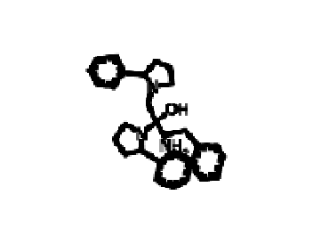 N[C@H](Cc1ccccc1)[C@@](O)(CN1CCCC1c1ccccc1)N1CCCC1c1ccccc1